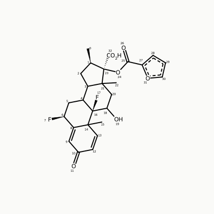 C[C@@H]1CC2C3C[C@H](F)C4=CC(=O)C=CC4(C)[C@@]3(F)C(O)CC2(C)[C@@]1(OC(=O)c1ccco1)C(=O)O